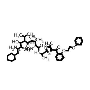 Cc1nc(C(C)NC(=O)[C@H](N)[C@H](C)[C@@H](C)C(=O)C(C(C)C)C(O)C(O)[C@@H](N)CC2CCCCC2)sc1C(=O)c1ccccc1OCCOc1ccccc1